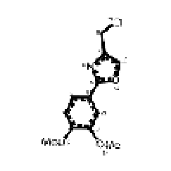 COc1ccc(-c2nc(CCl)co2)cc1OC